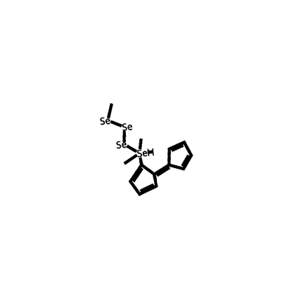 C[Se][Se][Se][SeH](C)(C)(C)C1=CC=CC1=C1C=CC=C1